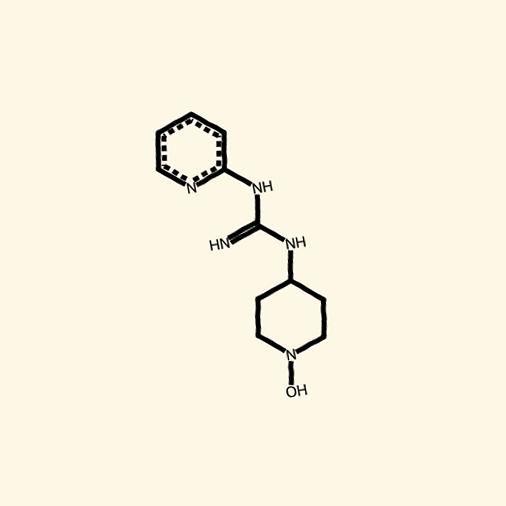 N=C(Nc1ccccn1)NC1CCN(O)CC1